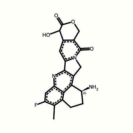 Cc1c(F)cc2nc3c(c4c2c1CC[C@@H]4N)Cn1c-3cc2c(c1=O)COC(=O)C2O